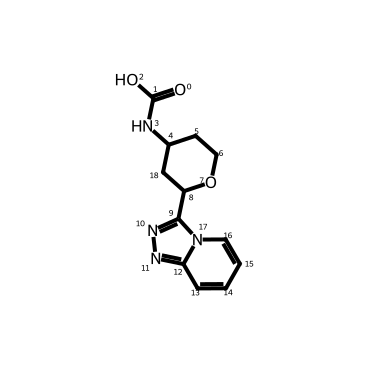 O=C(O)NC1CCOC(c2nnc3ccccn23)C1